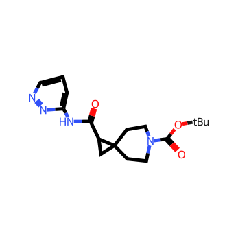 CC(C)(C)OC(=O)N1CCC2(CC1)CC2C(=O)Nc1cccnn1